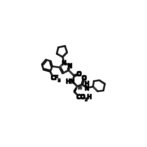 O=C(O)C[C@@H](NC(=O)c1cc(-c2ccccc2C(F)(F)F)n(C2CCCC2)n1)C(=O)NC1CCCCC1